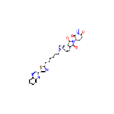 O=C1CCC(N2C(=O)c3ccc(NCCCCCCc4ncc(-c5cnc6ccccc6n5)s4)cc3C2=O)C(=O)N1